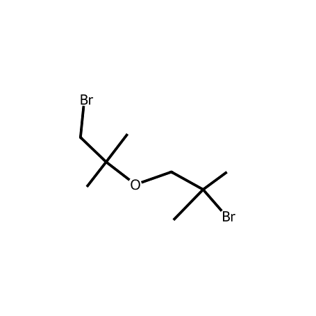 CC(C)(Br)COC(C)(C)CBr